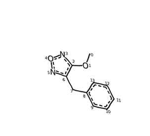 COc1nonc1Cc1ccccc1